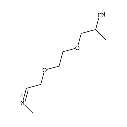 C/N=C\COCCOCC(C)C#N